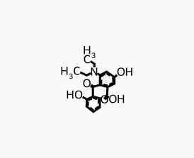 CCN(CC)c1cc(O)cc(C(=O)O)c1C(=O)c1ccccc1O